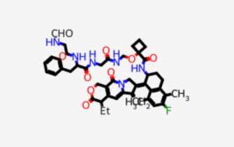 C=C1/C(=C2\c3c(C)cc(F)c(C)c3CCC2NC(=O)C2(OCNC(=O)CNC(=O)C(Cc3ccccc3)NC(=O)CNC=O)CCC2)Cn2c1cc1c(c2=O)COC(=O)C1CC